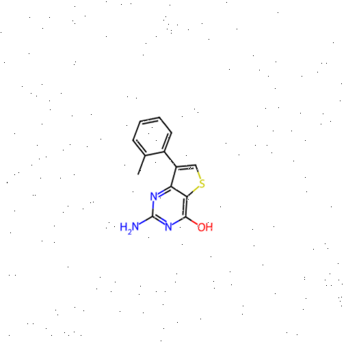 Cc1ccccc1-c1csc2c(O)nc(N)nc12